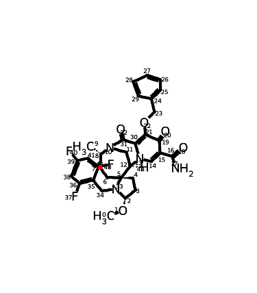 CO[C@H]1CC[C@]2(CC[C@H](C)N3C[C@H]2n2cc(C(N)=O)c(=O)c(OCc4ccccc4)c2C3=O)N1Cc1c(F)cc(F)cc1F